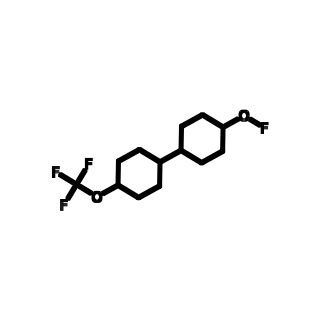 FOC1CCC(C2CCC(OC(F)(F)F)CC2)CC1